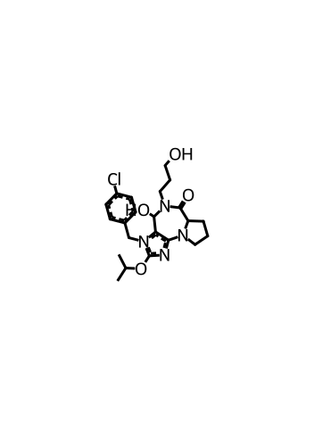 CC(C)Oc1nc2c(n1Cc1ccc(Cl)cc1)C(O)N(CCCO)C(=O)C1CCCN21